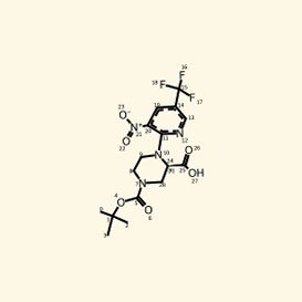 CC(C)(C)OC(=O)N1CCN(c2ncc(C(F)(F)F)cc2[N+](=O)[O-])[C@@H](C(=O)O)C1